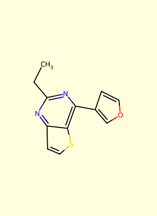 CCc1nc(-c2ccoc2)c2sccc2n1